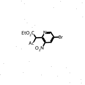 CCOC(=O)C(C(C)=O)c1ncc(Br)cc1[N+](=O)[O-]